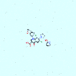 COc1ccc(F)c(-n2cc(C(=O)O)c(=O)c3cc(F)c(N4CCC[C@@H]4COc4ccccn4)cc32)c1